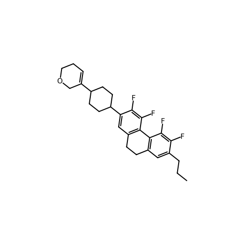 CCCc1cc2c(c(F)c1F)-c1c(cc(C3CCC(C4=CCCOC4)CC3)c(F)c1F)CC2